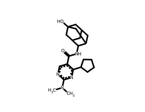 CN(C)c1ncc(C(=O)NC2C3CC4CC2CC(O)(C4)C3)c(C2CCCC2)n1